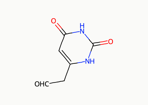 O=CCc1cc(=O)[nH]c(=O)[nH]1